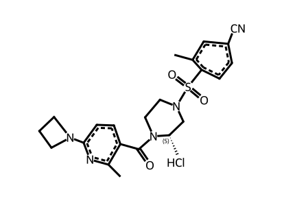 Cc1cc(C#N)ccc1S(=O)(=O)N1CCN(C(=O)c2ccc(N3CCC3)nc2C)[C@@H](C)C1.Cl